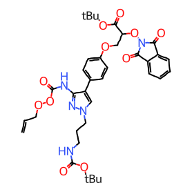 C=CCOOC(=O)Nc1nn(CCCNC(=O)OC(C)(C)C)cc1-c1ccc(OCC(ON2C(=O)c3ccccc3C2=O)C(=O)OC(C)(C)C)cc1